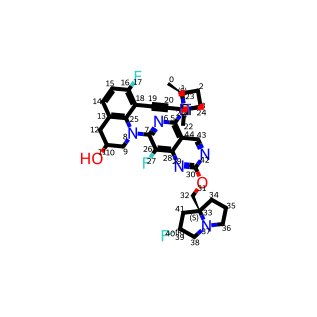 C[C@H]1CCN1c1nc(N2CC(O)Cc3ccc(F)c(C#C[Si](C)(C)C)c32)c(F)c2nc(OC[C@@]34CCCN3C[C@H](F)C4)ncc12